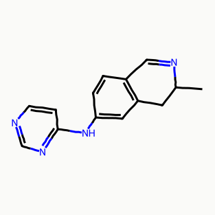 CC1Cc2cc(Nc3ccncn3)ccc2C=N1